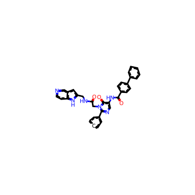 O=C(Cn1c(-c2ccccc2)ncc(NC(=O)c2ccc(-c3ccccc3)cc2)c1=O)NCc1cc2cnccc2[nH]1